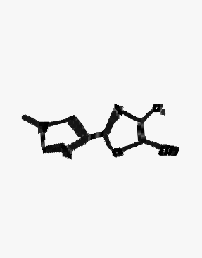 Cn1cnc(-c2nc(C(F)(F)F)c(C=O)o2)c1